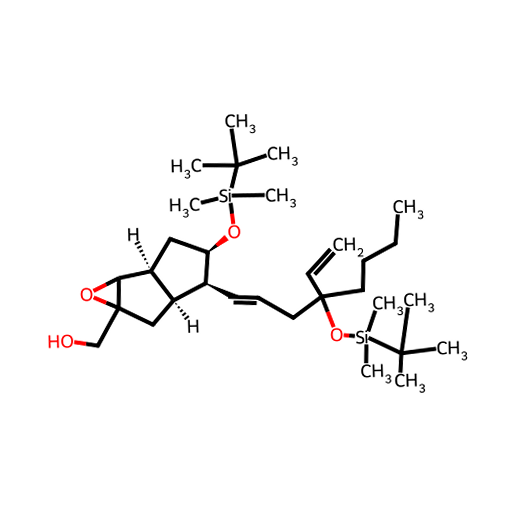 C=CC(C/C=C/[C@H]1[C@H]2CC3(CO)OC3[C@H]2C[C@H]1O[Si](C)(C)C(C)(C)C)(CCCC)O[Si](C)(C)C(C)(C)C